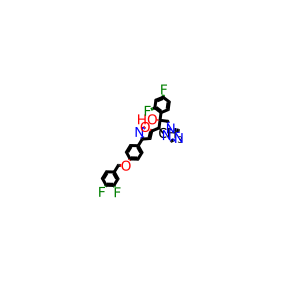 C[C@@H](c1cc(-c2ccc(OCc3ccc(F)c(F)c3)cc2)no1)[C@](O)(Cn1cncn1)c1ccc(F)cc1F